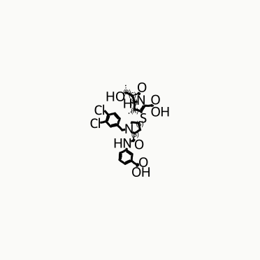 C[C@@H](O)[C@H]1C(=O)N2C(C(=O)O)=C(S[C@H]3C[C@@H](C(=O)Nc4cccc(C(=O)O)c4)N(Cc4ccc(Cl)c(Cl)c4)C3)[C@H](C)[C@H]12